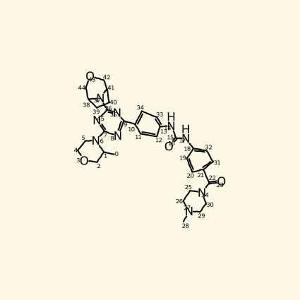 CC1COCCN1c1nc(-c2ccc(NC(=O)Nc3ccc(C(=O)N4CCN(C)CC4)cc3)cc2)nc(N2C3CCC2COC3)n1